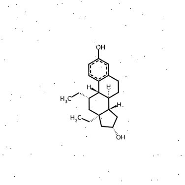 CC[C@H]1C[C@]2(CC)C[C@@H](O)C[C@H]2[C@@H]2CCc3cc(O)ccc3[C@@H]12